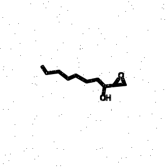 CCCCCCCC(O)C1CO1